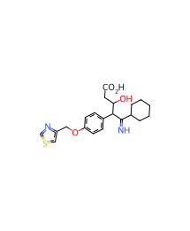 N=C(C1CCCCC1)C(c1ccc(OCc2cscn2)cc1)C(O)CC(=O)O